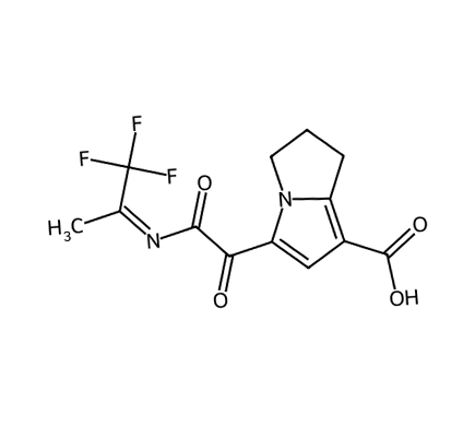 CC(=NC(=O)C(=O)c1cc(C(=O)O)c2n1CCC2)C(F)(F)F